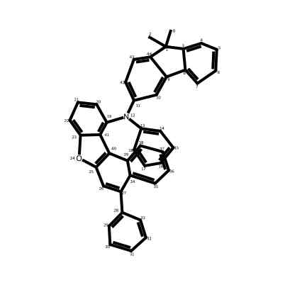 CC1(C)c2ccccc2-c2cc(N(c3ccccc3)c3cccc4oc5cc(-c6ccccc6)c6ccccc6c5c34)ccc21